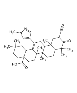 Cn1cc(C2=C3C4CC(C)(C)CCC4(C(=O)O)CCC3(C)C3(C)CCC4C(C)(C)C(=O)C(C#N)CC4(C)C3C2)cn1